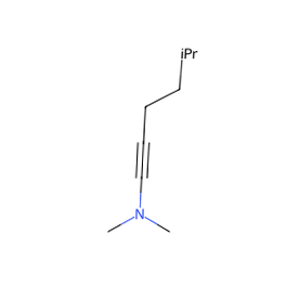 CC(C)CCC#CN(C)C